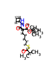 CC(C)C(=O)SCCCCC[C@@H](C(=O)NC1CCC1)C(=O)OC(C)(C)C